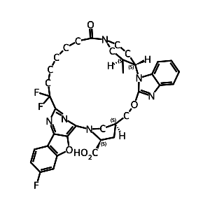 C[C@H]1CN2CC[C@@H]1n1c(nc3ccccc31)OC[C@H]1C[C@@H](C(=O)O)N(C1)c1nc(nc3c1oc1cc(F)ccc13)C(F)(F)CCCCCC2=O